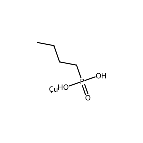 CCCCP(=O)(O)O.[Cu]